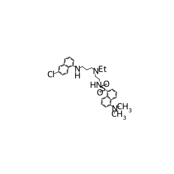 CCN(CCCNc1cccc2cc(Cl)ccc12)CCNS(=O)(=O)c1cccc2c(N(C)C)cccc12